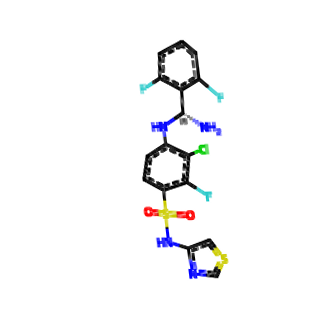 N[C@H](Nc1ccc(S(=O)(=O)Nc2cscn2)c(F)c1Cl)c1c(F)cccc1F